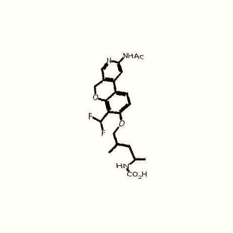 CC(=O)Nc1cc2c(cn1)COc1c-2ccc(OCC(C)CC(C)NC(=O)O)c1C(F)F